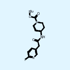 CC(C)(C)OC(=O)N1CCC(NC(=O)Cc2ccc(I)nc2)CC1